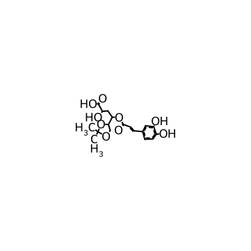 CC1(C)OCC(C(CC(O)C(=O)O)OC(=O)/C=C/c2ccc(O)c(O)c2)O1